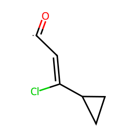 O=[C]C=C(Cl)C1CC1